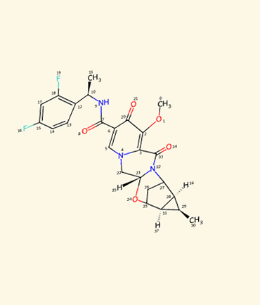 COc1c2n(cc(C(=O)N[C@H](C)c3ccc(F)cc3F)c1=O)C[C@H]1OC3CC([C@H]4[C@@H](C)[C@@H]34)N1C2=O